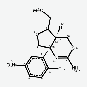 COCC1OC[C@]2(c3cc([N+](=O)[O-])ccc3F)N=C(N)SC[C@H]12